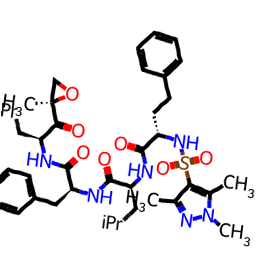 Cc1nn(C)c(C)c1S(=O)(=O)N[C@@H](CCc1ccccc1)C(=O)N[C@@H](CC(C)C)C(=O)N[C@@H](Cc1ccccc1)C(=O)N[C@@H](CC(C)C)C(=O)[C@@]1(C)CO1